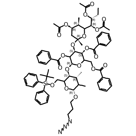 CC[C@@H](OC(C)=O)[C@@H](OC(C)=O)C1O[C@](C)(O[C@@H]2C(OC(=O)c3ccccc3)[C@H](O[C@@H]3C(CO[Si](c4ccccc4)(c4ccccc4)C(C)(C)C)O[C@@H](OCCCN=[N+]=[N-])C(C)[C@H]3C)OC(COC(=O)c3ccccc3)[C@@H]2OC(=O)c2ccccc2)C[C@@H](OC(C)=O)[C@H]1C